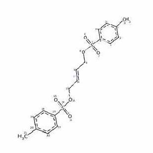 Cc1ccc(S(=O)(=O)OC/C=C/COS(=O)(=O)c2ccc(C)cc2)cc1